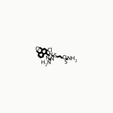 NC(=S)OCCCSc1nc(N)nc(-c2c(Cl)cc3c4c(cccc24)COC3)n1